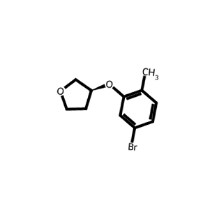 Cc1ccc(Br)cc1O[C@H]1CCOC1